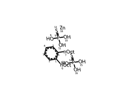 CCCCCCCCc1ccccc1CCCCCCCC.OP(O)(O)=S.OP(O)(O)=S.[Zn]